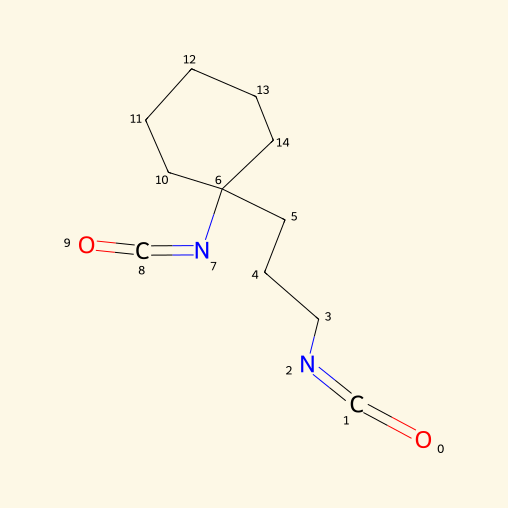 O=C=NCCCC1(N=C=O)CCCCC1